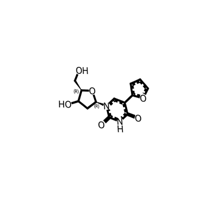 O=c1[nH]c(=O)n([C@H]2CC(O)[C@@H](CO)O2)cc1-c1ccco1